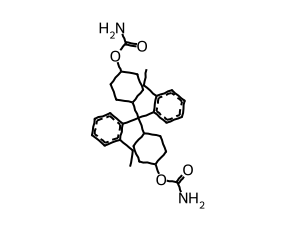 CCc1ccccc1C(c1ccccc1CC)(C1CCC(OC(N)=O)CC1)C1CCC(OC(N)=O)CC1